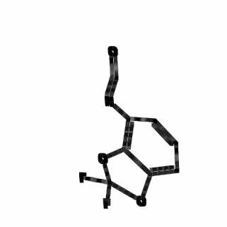 O=C=Nc1cccc2c1OC(F)(F)O2